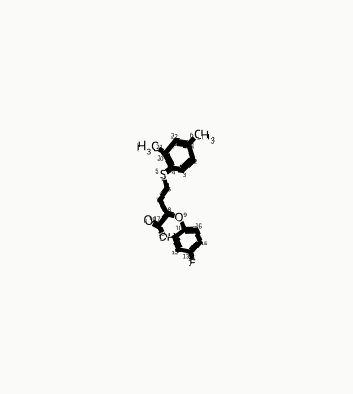 Cc1ccc(SCCC(Oc2ccc(F)cc2)C(=O)O)c(C)c1